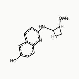 CO[C@@H]1CNC1Nc1ccc2cc(O)ccc2n1